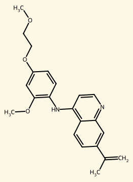 C=C(C)c1ccc2c(Nc3ccc(OCCOC)cc3OC)ccnc2c1